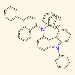 c1ccc(-c2ccc(N(c3ccccc3)c3cccc4c3c3c(-c5ccccc5)cccc3n4-c3ccccc3)c3ccccc23)cc1